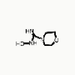 N=C(NO)N1CCOCC1